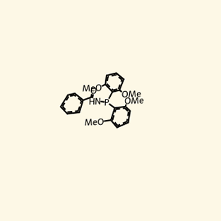 COc1cccc(OC)c1P(NC(=O)c1ccccc1)c1c(OC)cccc1OC